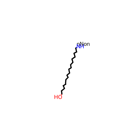 CCCCCCCCCNCCCCCCCCCCCCCCCCCCO